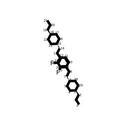 CCC[C@H]1CC[C@H](CCc2ccc(CC[C@H]3CC[C@H](CCC)CC3)c(F)c2F)CC1